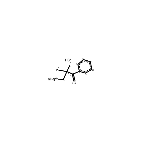 Br.CCCCCCCCC(C)(S)C(=O)c1ccccc1